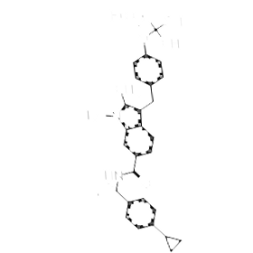 CCOC(=O)C(C)(C)Oc1ccc(Cc2c(C)n(C)c3cc(C(=O)N[C@@H](C)c4ccc(C5CC5)cc4)ccc23)cc1